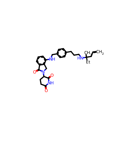 C=CCC(C)(CC)NCCCc1ccc(CNc2cccc3c2CN(C2CCC(=O)NC2=O)C3=O)cc1